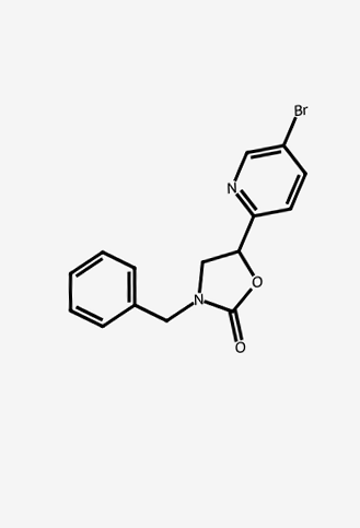 O=C1OC(c2ccc(Br)cn2)CN1Cc1ccccc1